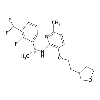 Cc1ncc(OCCC2CCOC2)c(N[C@H](C)c2cccc(C(F)F)c2F)n1